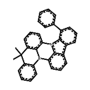 CC1(C)c2ccccc2B2c3c(cccc31)-n1c3c2cccc3c2cccc(-c3ccccc3)c21